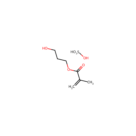 C=C(C)C(=O)OCCCO.O=S(=O)(O)O